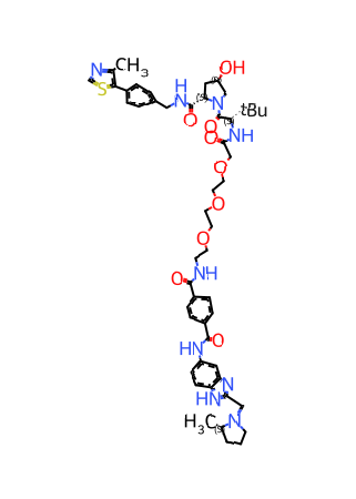 Cc1ncsc1-c1ccc(CNC(=O)[C@@H]2C[C@@H](O)CN2C(=O)[C@@H](NC(=O)COCCOCCOCCNC(=O)c2ccc(C(=O)Nc3ccc4[nH]c(CN5CCC[C@@H]5C)nc4c3)cc2)C(C)(C)C)cc1